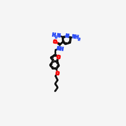 CCCCCOc1ccc2cc(CNC(=O)c3ccc(N)nc3N)oc2c1